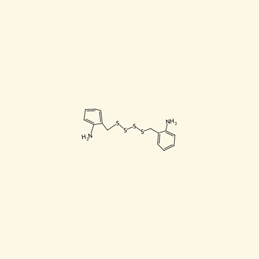 Nc1ccccc1CSSSSCc1ccccc1N